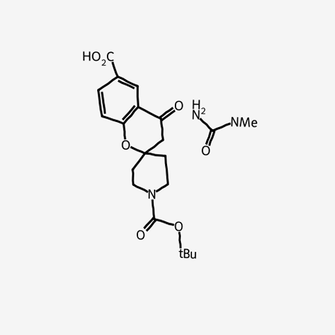 CC(C)(C)OC(=O)N1CCC2(CC1)CC(=O)c1cc(C(=O)O)ccc1O2.CNC(N)=O